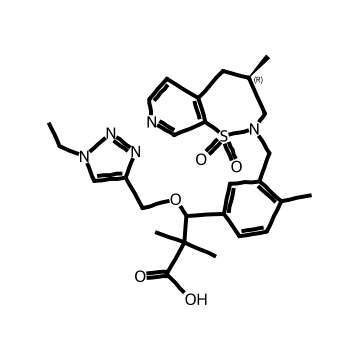 CCn1cc(COC(c2ccc(C)c(CN3C[C@H](C)Cc4ccncc4S3(=O)=O)c2)C(C)(C)C(=O)O)nn1